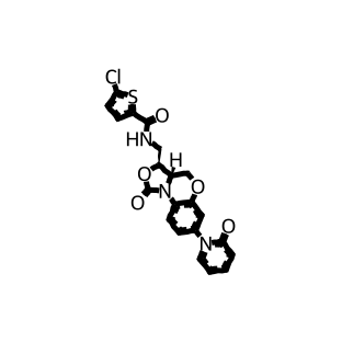 O=C(NC[C@@H]1OC(=O)N2c3ccc(-n4ccccc4=O)cc3OC[C@@H]12)c1ccc(Cl)s1